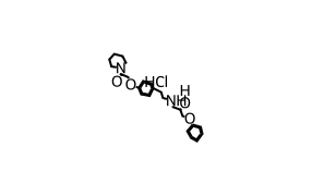 Cl.O=C(COc1ccc(CCNCC(O)COc2ccccc2)cc1)N1CCCCC1